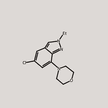 CCn1cc2cc(Cl)cc(N3CCOCC3)c2n1